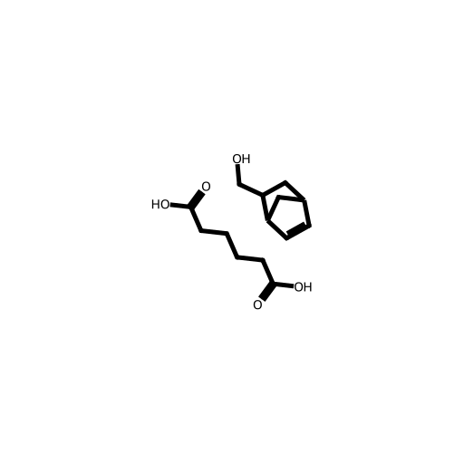 O=C(O)CCCCC(=O)O.OCC1CC2C=CC1C2